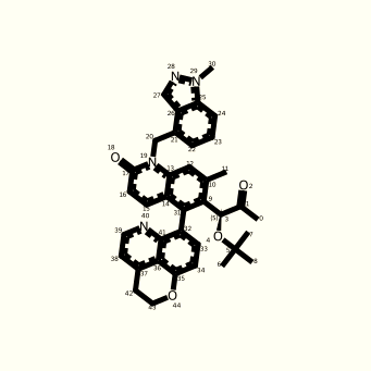 CC(=O)[C@@H](OC(C)(C)C)c1c(C)cc2c(ccc(=O)n2Cc2cccc3c2cnn3C)c1-c1ccc2c3c(ccnc13)CCO2